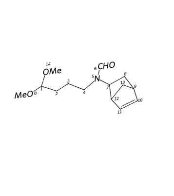 COC(CCCN(C=O)C1CC2C=CC1C2)OC